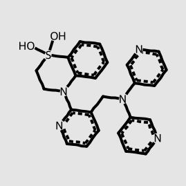 OS1(O)CCN(c2ncccc2CN(c2cccnc2)c2cccnc2)c2ccccc21